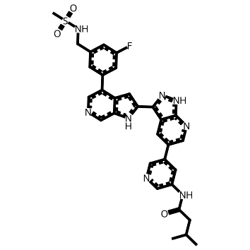 CC(C)CC(=O)Nc1cncc(-c2cnc3[nH]nc(-c4cc5c(-c6cc(F)cc(CNS(C)(=O)=O)c6)cncc5[nH]4)c3c2)c1